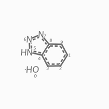 [OH].c1ccc2[nH]nnc2c1